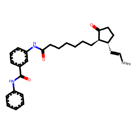 CCCCCC/C=C/[C@H]1CCC(=O)[C@@H]1CCCCCCC(=O)Nc1cccc(C(=O)Nc2ccccc2)c1